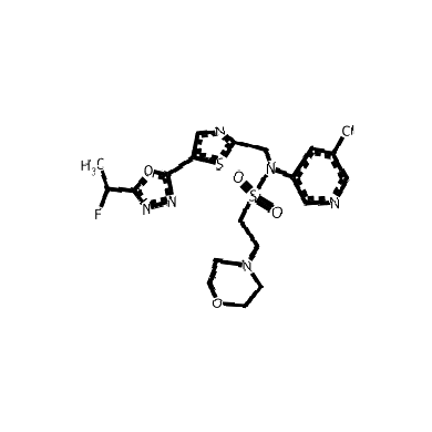 CC(F)c1nnc(-c2cnc(CN(c3cncc(Cl)c3)S(=O)(=O)CCN3CCOCC3)s2)o1